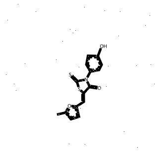 Cc1ccc(C=C2SC(=S)N(c3ccc(O)cc3)C2=O)o1